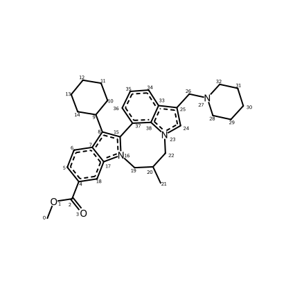 COC(=O)c1ccc2c(C3CCCCC3)c3n(c2c1)CC(C)Cn1cc(CN2CCCCC2)c2cccc-3c21